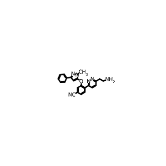 Cn1nc(-c2ccccc2)cc1Oc1cc(C#N)ccc1-c1ccc(CCN)nn1